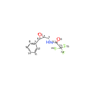 O=C(NCC1OC1c1ccccc1)C(F)(F)F